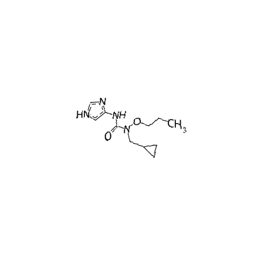 CCCON(CC1CC1)C(=O)Nc1c[nH]cn1